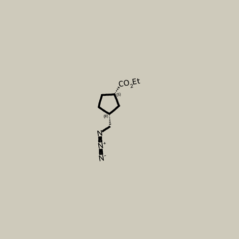 CCOC(=O)[C@H]1CC[C@@H](CN=[N+]=[N-])C1